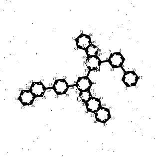 c1ccc(-c2cccc(-c3nc(-c4cc(-c5ccc(-c6ccc7ccccc7c6)cc5)c5oc6cc7ccccc7cc6c5c4)nc4c3sc3ccccc34)c2)cc1